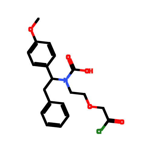 COc1ccc(C(Cc2ccccc2)N(CCOCC(=O)Cl)C(=O)O)cc1